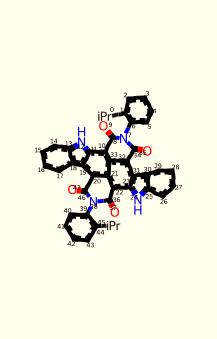 CC(C)c1ccccc1N1C(=O)c2c3[nH]c4ccccc4c3c3c4c(c5[nH]c6ccccc6c5c(c24)C1=O)C(=O)N(c1ccccc1C(C)C)C3=O